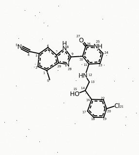 Cc1cc(C#N)cc2[nH]c(-c3c(NCC(O)c4cccc(Cl)c4)cc[nH]c3=O)nc12